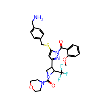 COc1ccccc1C(=O)n1nc(C2CN(C(=O)N3CCOCC3)C2C(F)(F)F)cc1SCc1ccc(CN)cc1